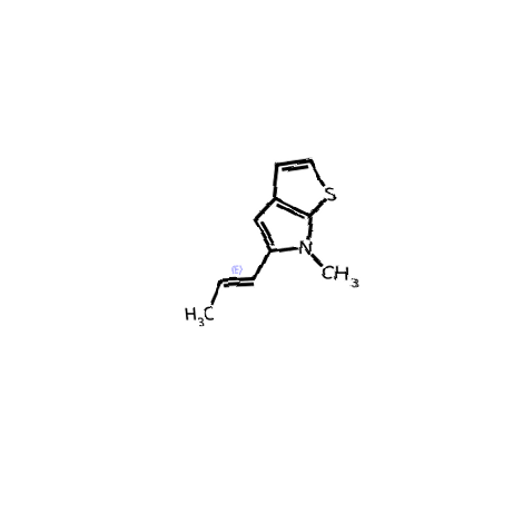 C/C=C/c1cc2ccsc2n1C